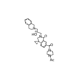 CC(=O)N1CCN(C(=O)c2ccc3c(c2)C(=O)N(C[C@H](O)CN2CCc4ccccc4C2)CC32CC2)CC1